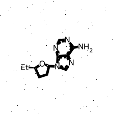 CC[C@@H]1CCC(n2cnc3c(N)ncnc32)O1